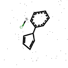 [Cl][Ti].[c]1ccc(C2C=CC=C2)cc1